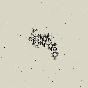 N#CC(=CC1CC1)C(=O)N1CCC[C@@H](n2nc(-c3cnc(Oc4ccccc4)c(F)c3)c3c(N)ncnc32)C1